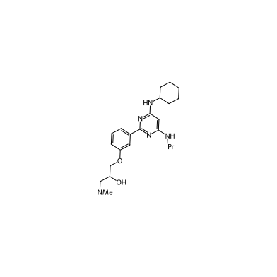 CNCC(O)COc1cccc(-c2nc(NC(C)C)cc(NC3CCCCC3)n2)c1